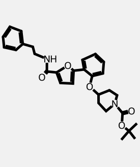 CC(C)(C)OC(=O)N1CCC(Oc2ccccc2-c2ccc(C(=O)NCCc3ccccc3)o2)CC1